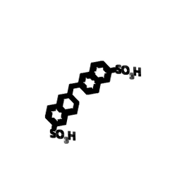 O=S(=O)(O)c1ccc2c(c1)=CCC(Cc1ccc3cc(S(=O)(=O)O)ccc3c1)C=2